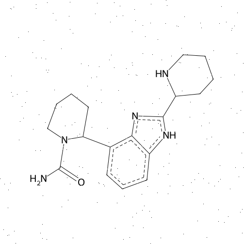 NC(=O)N1CCCCC1c1cccc2[nH]c(C3CCCCN3)nc12